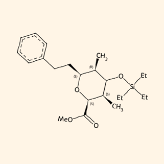 CC[Si](CC)(CC)OC1[C@@H](C)[C@@H](C(=O)OC)O[C@@H](CCc2ccccc2)[C@H]1C